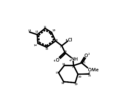 COC(=O)C1(NC(=O)C(Cl)c2ccc(C)cc2)CCCCC1C